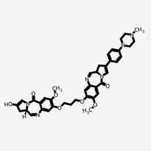 COc1cc2c(cc1OCCCOc1cc3c(cc1OC)C(=O)N1C=C(O)C[C@H]1C=N3)N=CC1CC(c3ccc(N4CCN(C)CC4)cc3)=CN1C2=O